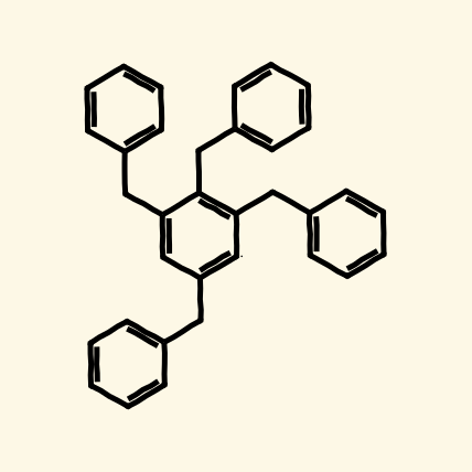 [c]1c(Cc2ccccc2)cc(Cc2ccccc2)c(Cc2ccccc2)c1Cc1ccccc1